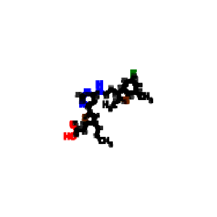 CCCc1cc(-c2cc(NCCc3c(C)sc4c(C)cc(F)cc34)ncn2)sc1CC(=O)O